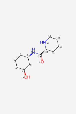 O=C(N[C@@H]1CCC[C@H](O)C1)[C@@H]1CCCCN1